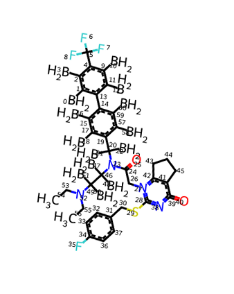 Bc1c(B)c(C(F)(F)F)c(B)c(B)c1-c1c(B)c(B)c(C(B)(B)N(C(=O)Cn2c(SCc3ccc(F)cc3)nc(=O)c3c2CCC3)C(B)(B)C(B)(B)N(CC)CC)c(B)c1B